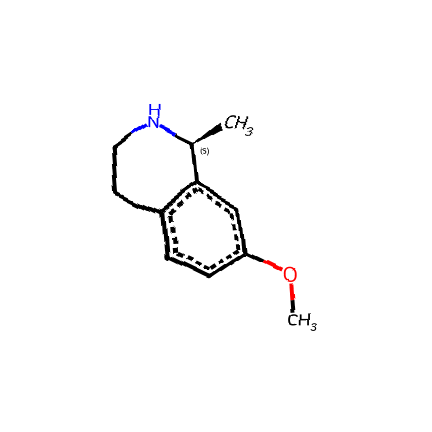 COc1ccc2c(c1)[C@H](C)NCC2